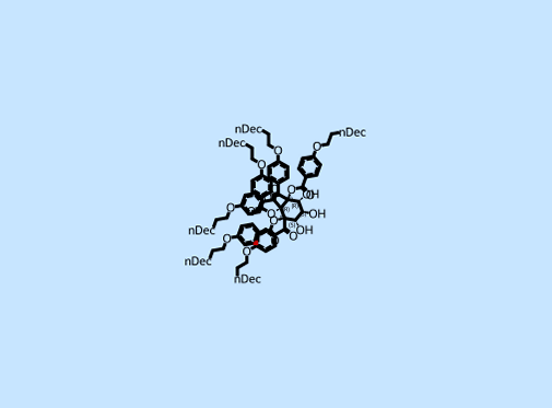 CCCCCCCCCCCCOc1ccc(C(=O)O[C@@]2(C(=O)c3ccc(OCCCCCCCCCCCC)cc3)[C@@](OC(=O)c3ccc(OCCCCCCCCCCCC)cc3)(C(=O)c3ccc(OCCCCCCCCCCCC)cc3)[C@@H](O)[C@H](O)[C@@H](O)[C@@]2(OC(=O)c2ccc(OCCCCCCCCCCCC)cc2)C(=O)c2ccc(OCCCCCCCCCCCC)cc2)cc1